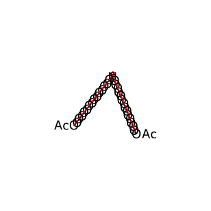 CC(=O)OCCOCCOCCOCCOCCOCCOCCOCCOCCOCCOCCOCCOCCOCCOCCN(CCOCCOCCOCCOCCOCCOCCOCCOCCOCCOCCOCCOCCOCCOCCOC(C)=O)c1ccccc1